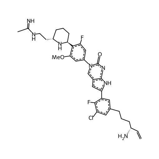 C=C[C@H](N)CCCc1cc(Cl)c(F)c(-c2cc3cn(-c4cc(F)c([C@@H]5CCC[C@@H](CCNC(C)=N)N5)c(OC)c4)c(=O)nc3[nH]2)c1